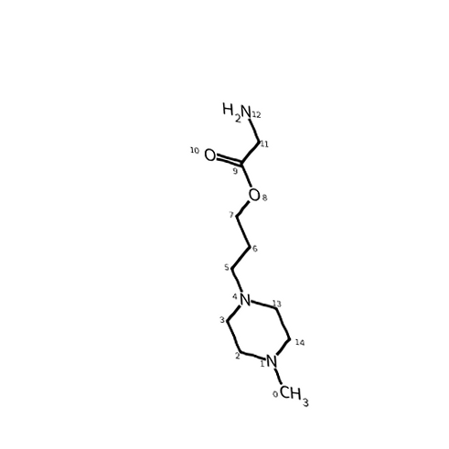 CN1CCN(CCCOC(=O)CN)CC1